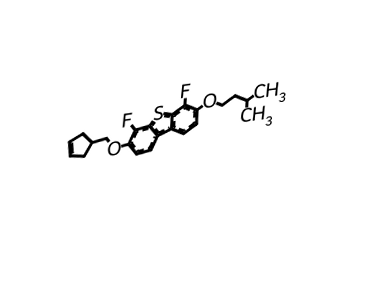 CC(C)CCOc1ccc2c(sc3c(F)c(OCC4CC=CC4)ccc32)c1F